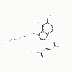 CCCNCCc1c[nH]c2ccc(OC)c(Cl)c12.O=C(O)/C=C/C(=O)O